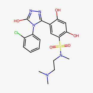 CN(C)CCN(C)S(=O)(=O)c1cc(-c2nnc(O)n2-c2ccccc2Cl)c(O)cc1O